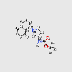 Cc1cccc2cccc(N3CCC(N(C)C(=O)OC(C)(C)C)C3)c12